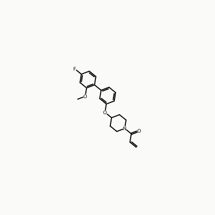 C=CC(=O)N1CCC(Oc2cccc(-c3ccc(F)cc3OC)c2)CC1